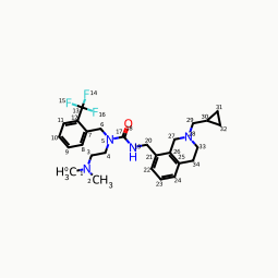 CN(C)CCN(Cc1ccccc1C(F)(F)F)C(=O)NCc1cccc2c1CN(CC1CC1)CC2